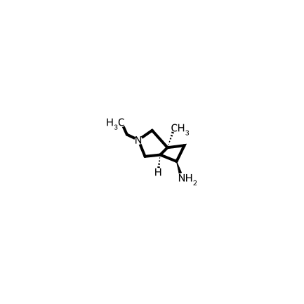 CCN1C[C@@H]2[C@H](N)C[C@]2(C)C1